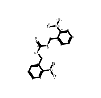 CCN(CC)c1ccccc1CSC(=S)SCc1ccccc1N(CC)CC